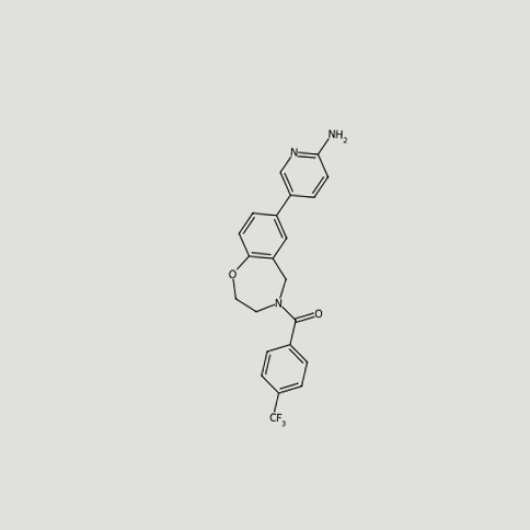 Nc1ccc(-c2ccc3c(c2)CN(C(=O)c2ccc(C(F)(F)F)cc2)CCO3)cn1